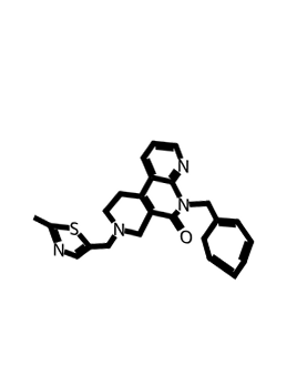 Cc1ncc(CN2CCc3c(c(=O)n(CC4=CC=CC=CC4)c4ncccc34)C2)s1